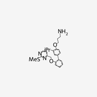 CSc1nccc(COc2ccccc2-c2ccc(OCCCN)c(C(C)C)c2)n1